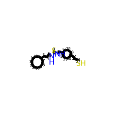 S=C(NCCCC1CCCCCCCCCC1)NCC1CCCC(CCCS)CCC1